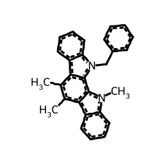 Cc1c(C)c2c3ccccc3n(Cc3ccccc3)c2c2c1c1ccccc1n2C